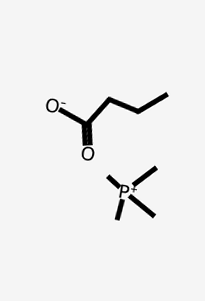 CCCC(=O)[O-].C[P+](C)(C)C